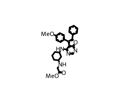 COC(=O)CNC1CCCC(Nc2ncnc3oc(-c4ccccc4)c(-c4ccc(OC)cc4)c23)C1